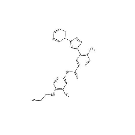 Cc1ccc(C(=O)Nc2ccc(NCCO)c(C(F)(F)F)c2)cc1-n1cc(-c2cccnc2)nn1